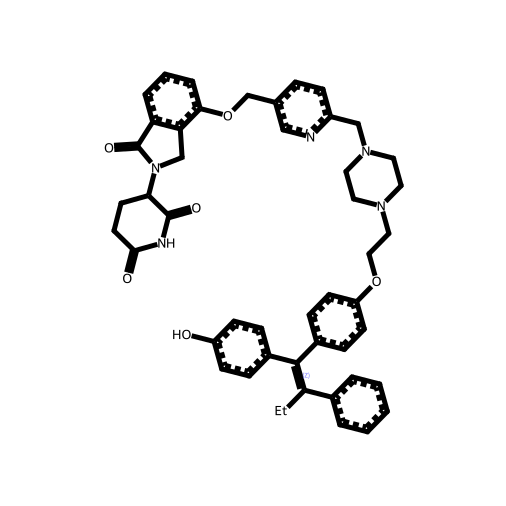 CC/C(=C(\c1ccc(O)cc1)c1ccc(OCCN2CCN(Cc3ccc(COc4cccc5c4CN(C4CCC(=O)NC4=O)C5=O)cn3)CC2)cc1)c1ccccc1